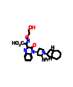 CCC[C@H]1C[C@@H](n2c(=O)c(/C(=N/OCCO)C(=O)O)nc3ccccc32)CCN1[C@@H]1C[C@@H]2CCCC[C@@H](C2)C1